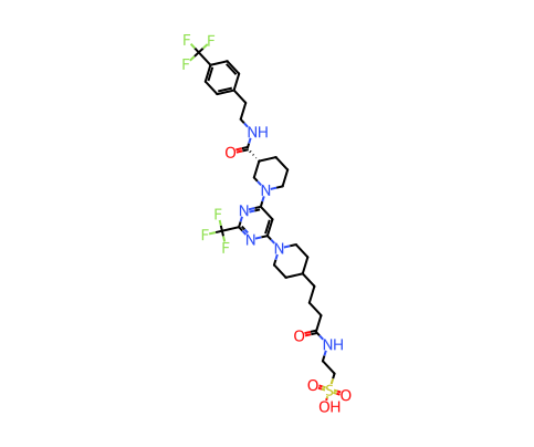 O=C(CCCC1CCN(c2cc(N3CCC[C@@H](C(=O)NCCc4ccc(C(F)(F)F)cc4)C3)nc(C(F)(F)F)n2)CC1)NCCS(=O)(=O)O